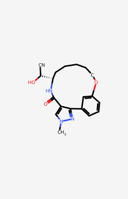 Cn1cc2c(n1)-c1cccc(c1)OCCCCC[C@@H](C(O)C#N)NC2=O